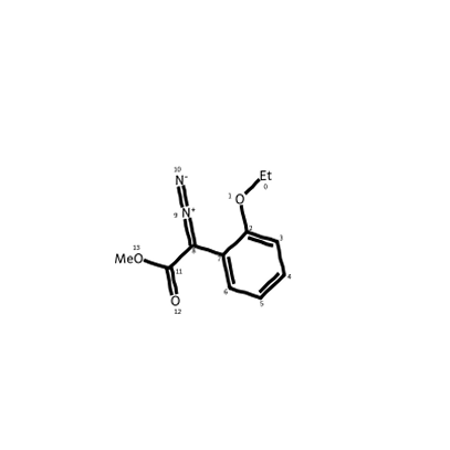 CCOc1ccccc1C(=[N+]=[N-])C(=O)OC